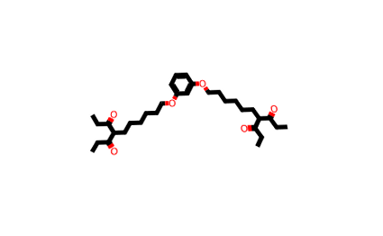 CCC(=O)C(CCCCCCOc1cccc(OCCCCCCC(C(=O)CC)C(=O)CC)c1)C(=O)CC